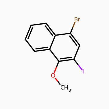 COc1c(I)cc(Br)c2ccccc12